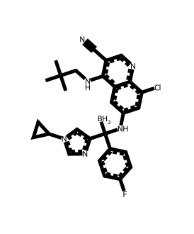 BC(Nc1cc(Cl)c2ncc(C#N)c(NCC(C)(C)C)c2c1)(c1ccc(F)cc1)c1cn(C2CC2)cn1